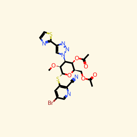 CO[C@@H]1[C@@H](n2cc(-c3nccs3)nn2)[C@@H](OC(C)=O)[C@@H](COC(C)=O)O[C@@H]1Sc1cc(Br)cnc1C#N